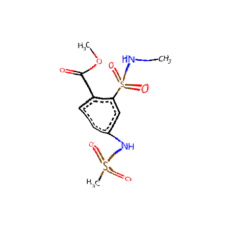 CNS(=O)(=O)c1cc(NS(C)(=O)=O)ccc1C(=O)OC